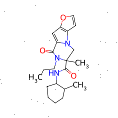 CCCN1C(=O)c2cc3occc3n2CC1(C)C(=O)NC1CCCCC1C